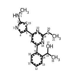 CNc1ncc(-c2cc(-c3ccccc3C(C)O)nc(SC)n2)s1